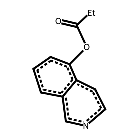 CCC(=O)Oc1cccc2cnccc12